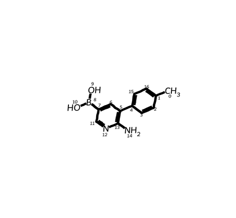 Cc1ccc(-c2cc(B(O)O)cnc2N)cc1